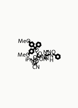 COc1ccc(C(OC[C@H]2O[C@@H](n3cnc4c(NC(=O)c5ccccc5)ncnc43)[C@@](O)(F)[C@@H]2OP(OCCC#N)N(C(C)C)C(C)C)(c2ccccc2)c2ccc(OC)cc2)cc1